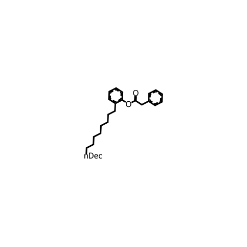 CCCCCCCCCCCCCCCCCCc1ccccc1OC(=O)Cc1ccccc1